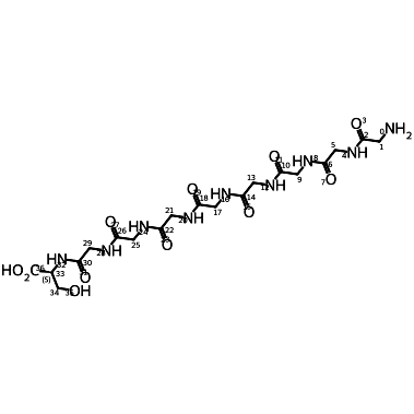 NCC(=O)NCC(=O)NCC(=O)NCC(=O)NCC(=O)NCC(=O)NCC(=O)NCC(=O)N[C@@H](CO)C(=O)O